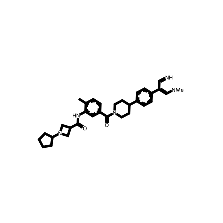 CN/C=C(\C=N)c1ccc(C2CCN(C(=O)c3ccc(C)c(NC(=O)C4CN(C5CCCC5)C4)c3)CC2)cc1